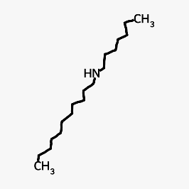 CCCCCCCCCCCNCCCCCCC